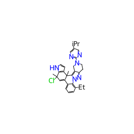 CCc1cccc2c1-n1nc3c(c1C1(C)C2=CC(C)(Cl)c2[nH]ccc21)CN(c1ncc(C(C)C)cn1)CC3